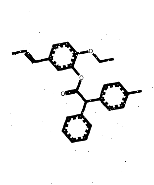 CC=Cc1ccc(OCC)c(OC(=O)C(c2ccccc2)c2ccc(C)cc2)c1